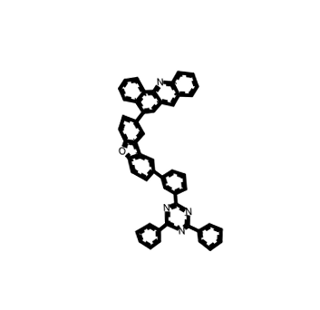 c1ccc(-c2nc(-c3ccccc3)nc(-c3cccc(-c4ccc5oc6ccc(-c7cc8cc9ccccc9nc8c8ccccc78)cc6c5c4)c3)n2)cc1